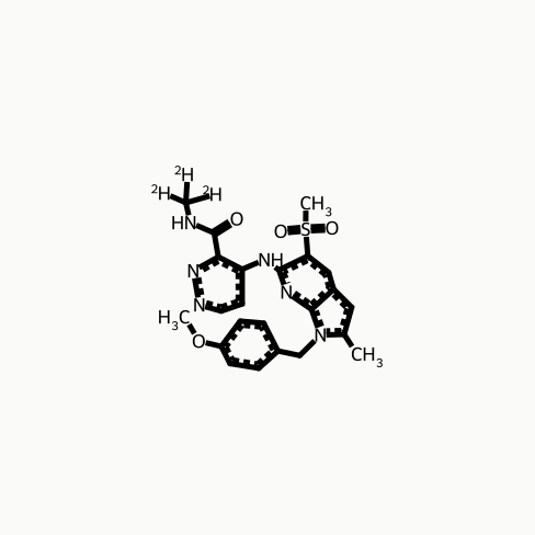 [2H]C([2H])([2H])NC(=O)c1nnccc1Nc1nc2c(cc1S(C)(=O)=O)cc(C)n2Cc1ccc(OC)cc1